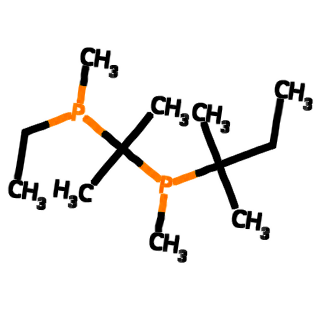 CCP(C)C(C)(C)P(C)C(C)(C)CC